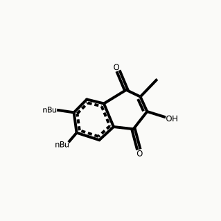 CCCCc1cc2c(cc1CCCC)C(=O)C(O)=C(C)C2=O